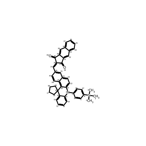 C[Si](C)(C)c1ccc(N2c3ccccc3C3(CCCC3)c3c2ccc2cc(C=C4C(=O)c5cc6ccccc6cc5C4=O)ccc32)cc1